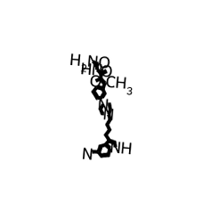 Cc1c(C(=O)NC(N)=O)oc2ccc(N3CCN(CCCCc4c[nH]c5ccc(C#N)cc45)CC3)cc12